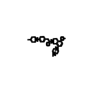 COc1ccc(N2CCN(C)CC2)c2c1CCN(C(=O)Cc1ccc(N3CCC(C)CC3)cc1)C2